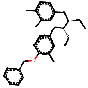 CC[C@H](Cc1ccc(C)c(C)c1)[C@H](CC)Cc1ccc(OCc2ccccc2)c(C)c1